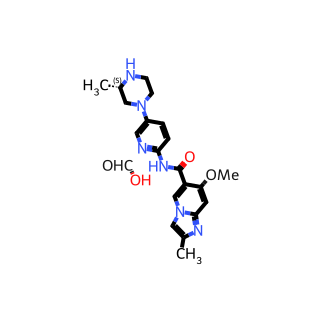 COc1cc2nc(C)cn2cc1C(=O)Nc1ccc(N2CCN[C@@H](C)C2)cn1.O=CO